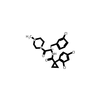 CN1CCN(C(=O)[C@H](Cc2cccc(Cl)c2)NC(=O)C2(c3ccc(Cl)cc3Cl)CC2)CC1